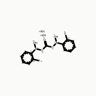 O=C(OB(O)c1ccccc1F)OB(O)c1ccccc1F.[KH].[KH]